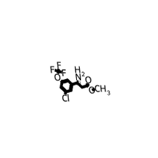 COC(=O)C[C@H](N)c1cc(Cl)cc(OC(F)(F)F)c1